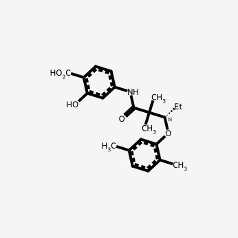 CC[C@H](Oc1cc(C)ccc1C)C(C)(C)C(=O)Nc1ccc(C(=O)O)c(O)c1